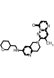 Cc1cc2nccc(=O)n2nc1N1CCc2ncc(NCC3CCCOC3)cc2C1